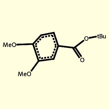 COc1ccc(C(=O)OC(C)(C)C)cc1OC